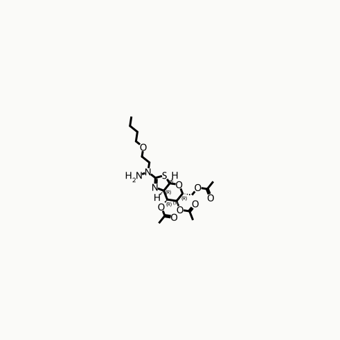 CCCCOCCN(N)C1=N[C@@H]2[C@@H](OC(C)=O)[C@H](OC(C)=O)[C@@H](COC(C)=O)O[C@@H]2S1